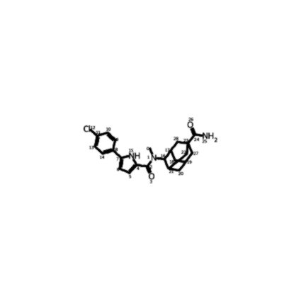 CN(C(=O)c1ccc(-c2ccc(Cl)cc2)[nH]1)C1C2CC3CC1CC(C(N)=O)(C3)C2